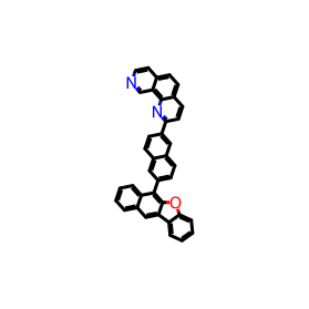 c1ccc2c(-c3ccc4cc(-c5ccc6ccc7ccncc7c6n5)ccc4c3)c3oc4ccccc4c3cc2c1